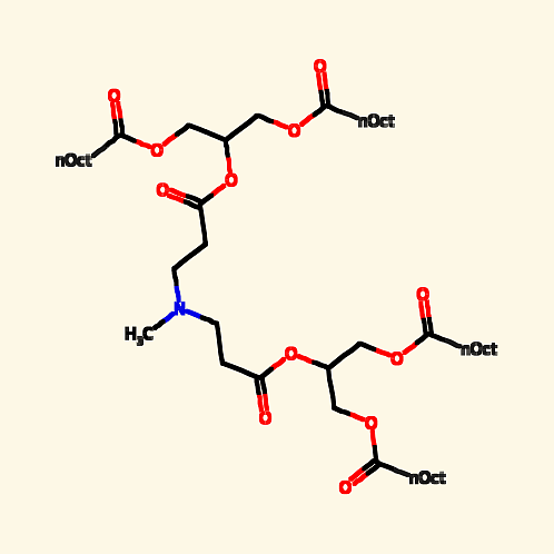 CCCCCCCCC(=O)OCC(COC(=O)CCCCCCCC)OC(=O)CCN(C)CCC(=O)OC(COC(=O)CCCCCCCC)COC(=O)CCCCCCCC